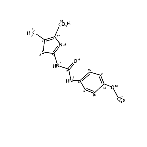 Cc1sc(NC(=O)Nc2ccc(OC(F)(F)F)cc2)nc1C(=O)O